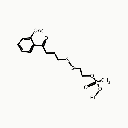 CCOP(C)(=O)OCCSSCCCC(=O)c1ccccc1OC(C)=O